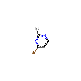 CCc1nc[c]c(Br)n1